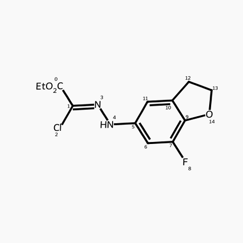 CCOC(=O)C(Cl)=NNc1cc(F)c2c(c1)CCO2